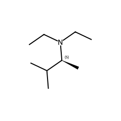 CCN(CC)[C@@H](C)C(C)C